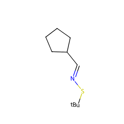 CC(C)(C)SN=CC1CCCC1